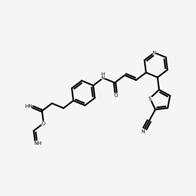 N#Cc1ccc(C2C=CN=CC2/C=C/C(=O)Nc2ccc(CCC(=N)OC=N)cc2)s1